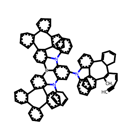 C#C/C=C\C1=C(/C)c2ccccc2-c2c(cccc2N(c2ccccc2)c2cc3c4c(c2)N(C2C=CC=CC2)c2c(ccc5c2-c2ccccc2-c2ccccc2-c2ccccc2-5)B4c2ccc4c(c2N3c2ccccc2)-c2ccccc2-c2ccccc2-c2ccccc2-4)C2=CC=CCC21